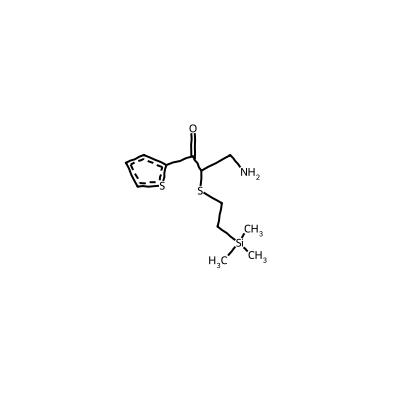 C[Si](C)(C)CCSC(CN)C(=O)c1cccs1